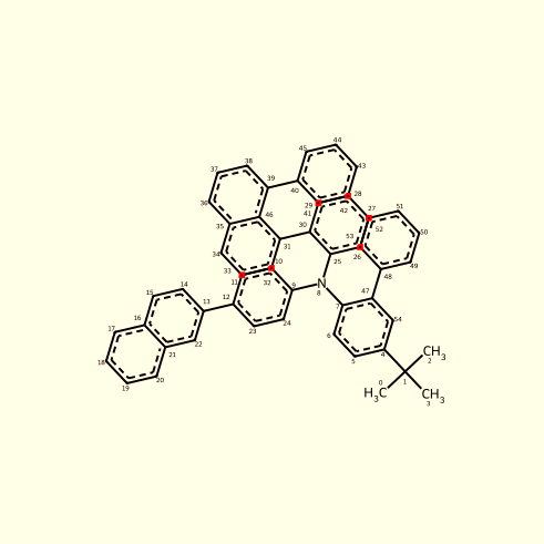 CC(C)(C)c1ccc(N(c2ccc(-c3ccc4ccccc4c3)cc2)c2ccccc2-c2cccc3cccc(-c4ccccc4)c23)c(-c2ccccc2)c1